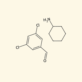 NC1CCCCC1.O=Cc1cc(Cl)cc(Cl)c1